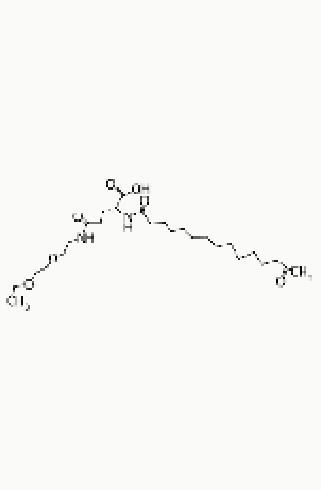 CCOCCOCCNC(=O)CC[C@@H](NC(=O)CCCCCCCCCCCCC(C)=O)C(=O)O